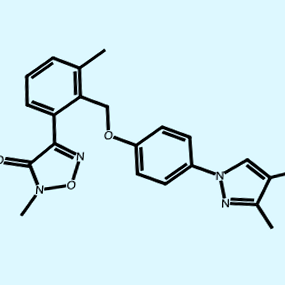 Cc1cn(-c2ccc(OCc3c(C)cccc3-c3non(C)c3=O)cc2)nc1C